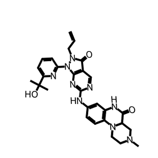 C=CCn1c(=O)c2cnc(Nc3ccc4c(c3)NC(=O)C3CN(C)CCN43)nc2n1-c1cccc(C(C)(C)O)n1